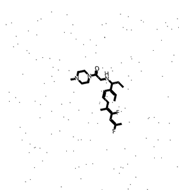 C/C=C(\C=C/C/C(C)=C(F)/C=C(\C)F)C(CC)NCC(=O)N1CCN(C)CC1